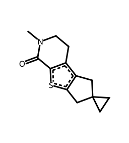 CN1CCc2c(sc3c2CC2(CC2)C3)C1=O